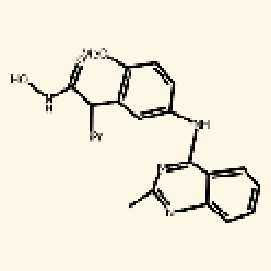 COc1ccc(Nc2nc(C)nc3ccccc23)cc1C(C(=O)NO)C(C)C